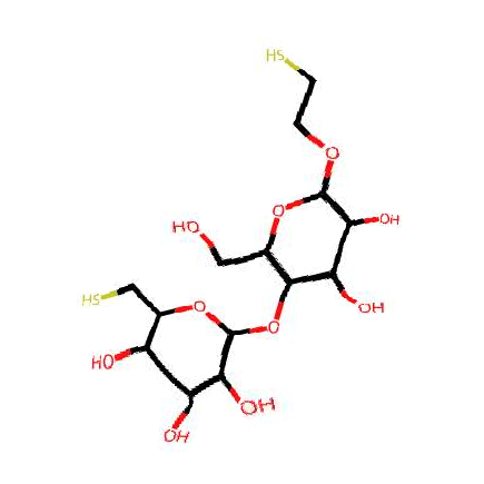 OCC1OC(OCCS)C(O)C(O)C1OC1OC(CS)C(O)C(O)C1O